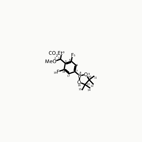 CCOC(=O)C(OC)c1c(F)cc(B2OC(C)(C)C(C)(C)O2)cc1F